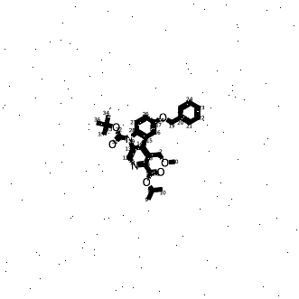 COCc1c(C(=O)OC(C)C)ncc2c1c1cc(OCc3ccccc3)ccc1n2C(=O)OC(C)(C)C